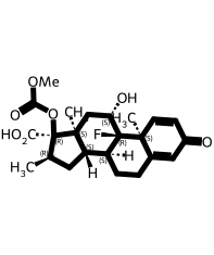 COC(=O)O[C@]1(C(=O)O)[C@H](C)C[C@H]2[C@@H]3CCC4=CC(=O)C=C[C@]4(C)[C@@]3(F)[C@@H](O)C[C@@]21C